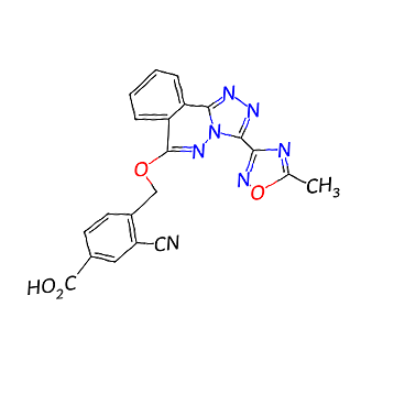 Cc1nc(-c2nnc3c4ccccc4c(OCc4ccc(C(=O)O)cc4C#N)nn23)no1